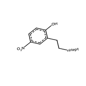 CCCCCCCCCc1cc([N+](=O)[O-])ccc1O